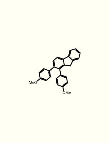 COc1ccc(-c2ccc3c(c2-c2ccc(OC)cc2)Cc2ccccc2-3)cc1